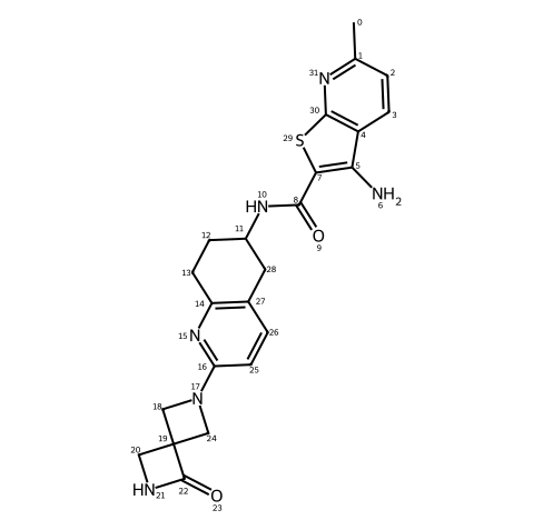 Cc1ccc2c(N)c(C(=O)NC3CCc4nc(N5CC6(CNC6=O)C5)ccc4C3)sc2n1